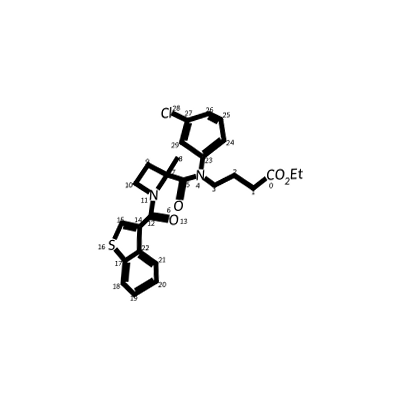 CCOC(=O)CCCN(C(=O)C1(C)CCN1C(=O)c1csc2ccccc12)c1cccc(Cl)c1